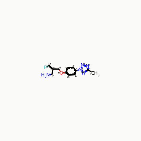 Cc1nnn(-c2ccc(OC/C(=C/F)CN)cc2)n1